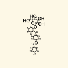 OC[C@H]1O[C@H](Oc2ccccc2Cc2ccc(OCc3ccccc3)cc2)[C@H](O)[C@@H](O)[C@@H]1O